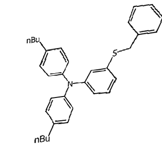 CCCCc1ccc(N(c2ccc(CCCC)cc2)c2cccc(SCc3ccccc3)c2)cc1